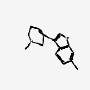 Cc1ccc2c(C3=CCCN(C)C3)c[nH]c2c1